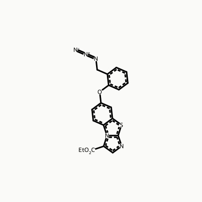 CCOC(=O)c1cnc2sc3cc(Oc4ccccc4CN=[N+]=[N-])ccc3n12